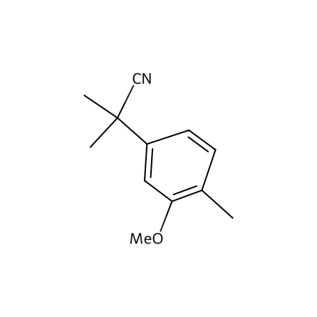 COc1cc(C(C)(C)C#N)ccc1C